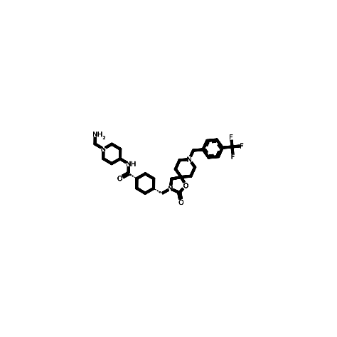 NCN1CCC(NC(=O)[C@H]2CC[C@@H](CN3CC4(CCN(Cc5ccc(C(F)(F)F)cc5)CC4)OC3=O)CC2)CC1